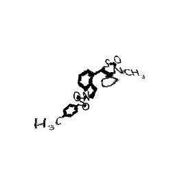 Cc1ccc(S(=O)(=O)n2ccc3c(C4SC(=O)N(C)C4=O)cccc32)cc1